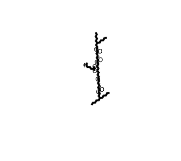 CCCCCC(CCCCC)CCOC(=O)CSCCOCCCC(CCCOC(=O)CSCC(=O)OCCC(CCCCC)CCCCC)OC(=O)CCCN(C)C